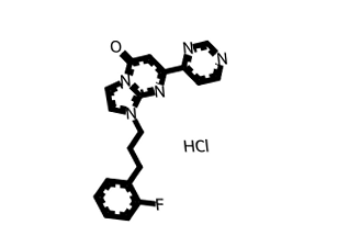 Cl.O=c1cc(-c2ccncn2)nc2n(CCCc3ccccc3F)ccn12